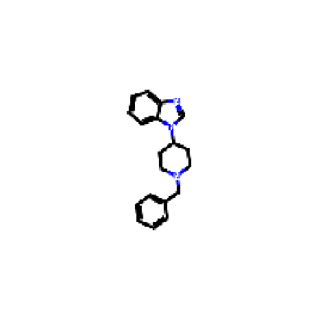 c1ccc(CN2CCC(n3cnc4ccccc43)CC2)cc1